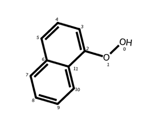 OOc1cccc2ccccc12